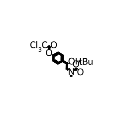 CN(CC(O)c1ccc(OC(=O)C(Cl)(Cl)Cl)cc1)C(=O)OC(C)(C)C